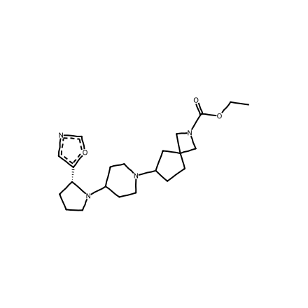 CCOC(=O)N1CC2(CCC(N3CCC(N4CCC[C@@H]4c4cnco4)CC3)C2)C1